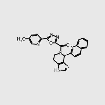 Cc1ccc(-c2nnc(C(=O)N3CCc4[nH]cnc4[C@@H]3c3ccc4ccccc4n3)o2)nc1